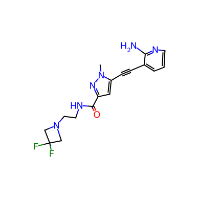 Cn1nc(C(=O)NCCN2CC(F)(F)C2)cc1C#Cc1cccnc1N